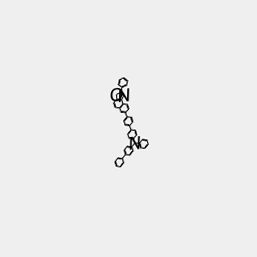 c1ccc(-c2ccc(N(c3ccccc3)c3ccc(-c4ccc(-c5ccc6c(ccc7oc(-c8ccccc8)nc76)c5)cc4)cc3)cc2)cc1